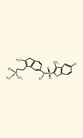 CCN(c1ccc2c(c1)C(CC[N+](C)(C)CC)=C(C)C2)S(=O)(=O)c1sc2ccc(Cl)cc2c1C